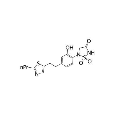 CCCc1ncc(CCc2ccc(N3CC(=O)NS3(=O)=O)c(O)c2)s1